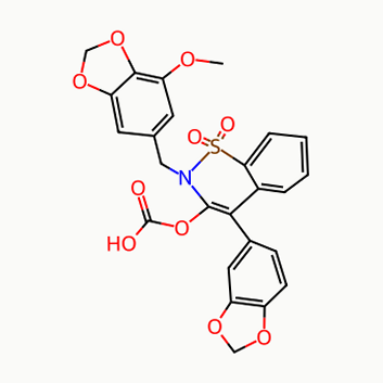 COc1cc(CN2C(OC(=O)O)=C(c3ccc4c(c3)OCO4)c3ccccc3S2(=O)=O)cc2c1OCO2